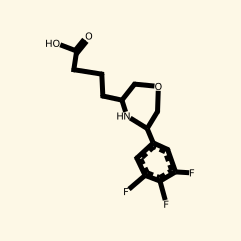 O=C(O)CCCC1COCC(c2cc(F)c(F)c(F)c2)N1